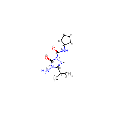 CC(C)c1nn(C(=O)NC2CCCC2)c(=O)n1N